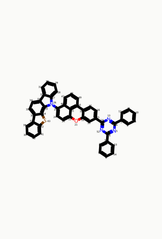 c1ccc(-c2nc(-c3ccccc3)nc(-c3ccc4c(c3)Oc3ccc(-n5c6ccccc6c6ccc7c8ccccc8sc7c65)c5cccc-4c35)n2)cc1